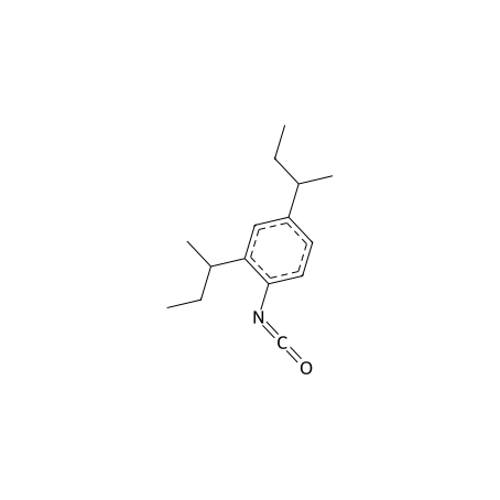 CCC(C)c1ccc(N=C=O)c(C(C)CC)c1